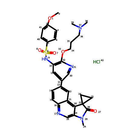 COc1ccc(S(=O)(=O)Nc2cc(-c3ccc4ncc5c(c4c3)C3(CC3)C(=O)N5C)cnc2OCCCN(C)C)cc1.Cl